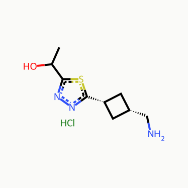 CC(O)c1nnc([C@H]2C[C@@H](CN)C2)s1.Cl